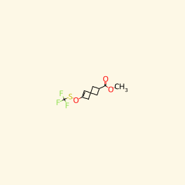 COC(=O)C1CC2(C=C(OSC(F)(F)F)C2)C1